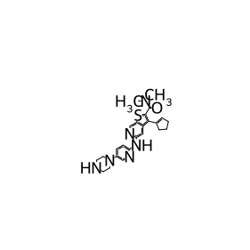 CN(C)C(=O)c1sc2cnc(Nc3ccc(N4CCNCC4)cn3)cc2c1C1=CCCC1